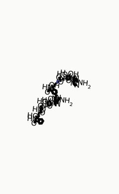 Nc1ncnc2c1ncn2[C@@H]1O[C@H](CNS(=O)(=O)/C=C/CCC2(O)NC(=O)c3cc(-c4nc(N)c5ncn([C@@H]6O[C@H](CNS(=O)(=O)NC(=O)CCC7(O)NC(=O)c8ccccc87)[C@@H](O)[C@H]6O)c5n4)ccc32)[C@@H](O)[C@H]1O